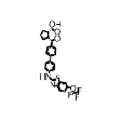 O=C(O)[C@H]1CCC[C@@H]1C(=O)c1ccc(-c2ccc(Nc3nc4ccc(OC(F)(F)F)cc4s3)cc2)cc1